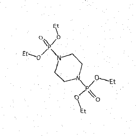 CCOP(=O)(OCC)N1CCN(P(=O)(OCC)OCC)CC1